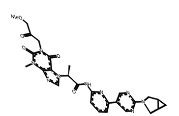 COCC(=O)Cn1c(=O)c2c(ncn2[C@@H](C)C(=O)Nc2cccc(-c3cnc(N4CC5CC5C4)nc3)n2)n(C)c1=O